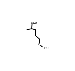 COC(C)CCCOC=O